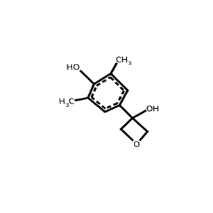 Cc1cc(C2(O)COC2)cc(C)c1O